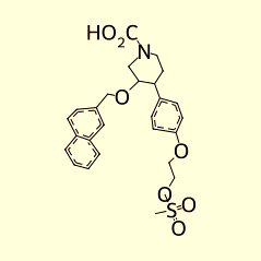 CS(=O)(=O)OCCOc1ccc(C2CCN(C(=O)O)CC2OCc2ccc3ccccc3c2)cc1